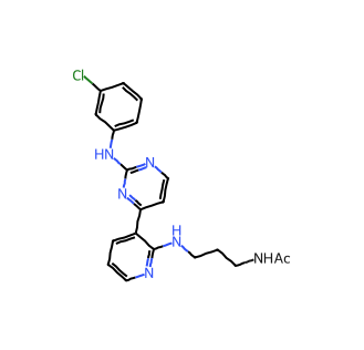 CC(=O)NCCCNc1ncccc1-c1ccnc(Nc2cccc(Cl)c2)n1